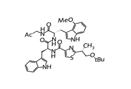 COc1cccc2[nH]cc(C[C@H](NC(=O)[C@H](Cc3c[nH]c4ccccc34)NC(=O)c3csc([C@H](C)COC(C)(C)C)n3)C(=O)NCC(C)=O)c12